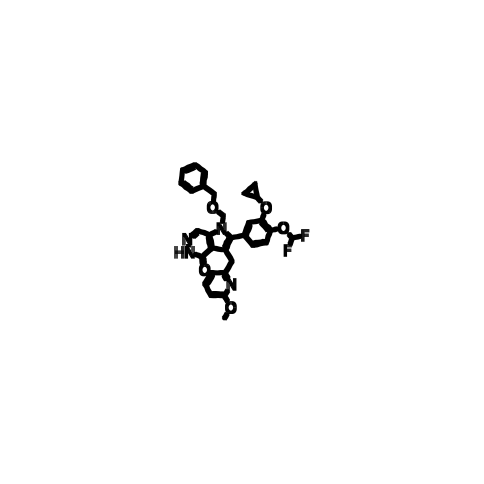 COc1cccc(Cc2c(-c3ccc(OC(F)F)c(OC4CC4)c3)n(COCc3ccccc3)c3cn[nH]c(=O)c23)n1